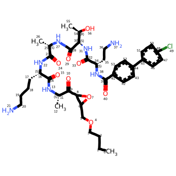 CCCCOCC1OC1C(=O)[C@H](C)NC(=O)[C@H](CCCCN)NC(=O)[C@H](C)NC(=O)[C@@H](NC(=O)[C@H](CCN)NC(=O)c1ccc(-c2ccc(Cl)cc2)cc1)[C@@H](C)O